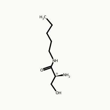 CCCCCNC(=O)[C@@H](N)CO